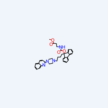 COC(=O)CCNC(=O)OC1(CCCCN2CCN(c3ccc4ccccc4n3)CC2)c2ccccc2-c2ccccc21